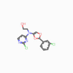 OCCN(C1=COC(c2cccc(Cl)c2)O1)c1ccnc(Cl)n1